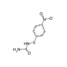 NC(=O)NSc1ccc([N+](=O)[O-])cc1